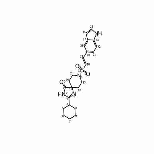 O=C1NC(C2CCCCC2)=NC12CCN(S(=O)(=O)C=Cc1ccc3[nH]ccc3c1)CC2